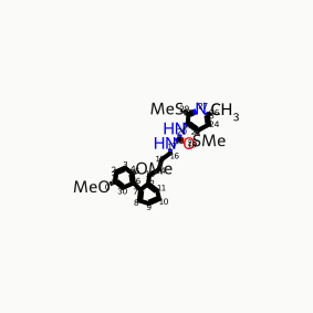 COc1ccc(OC)c(-c2ccccc2CCCCNC(=O)Nc2c(SC)cc(C)nc2SC)c1